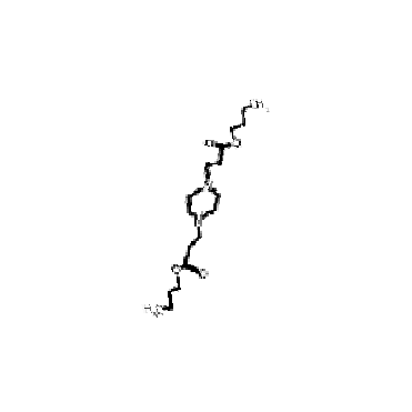 CCCCOC(=O)CCN1CCN(CCC(=O)OCCCC)CC1